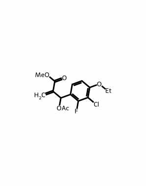 C=C(C(=O)OC)C(OC(C)=O)c1ccc(OCC)c(Cl)c1F